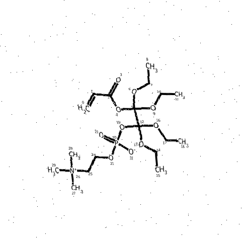 C=CC(=O)OC(OCC)(OCC)C(OCC)(OCC)OP(=O)([O-])OCC[N+](C)(C)C